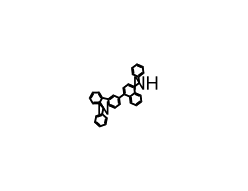 c1ccc(Nc2ccc(-c3ccc4c(c3)c3ccccc3n4-c3ccccc3)c3ccccc23)cc1